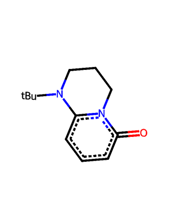 CC(C)(C)N1CCCn2c1cccc2=O